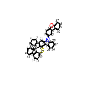 c1ccc([Si]2(c3ccccc3)c3ccccc3Sc3c2ccc2c3c3ccccc3n2-c2ccc3oc4ccccc4c3c2)cc1